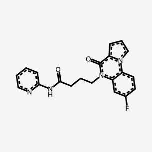 O=C(CCCn1c(=O)c2cccn2c2ccc(F)cc21)Nc1ccccn1